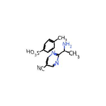 C[C@H](N)c1ncc(C#N)cn1.Cc1ccc(S(=O)(=O)O)cc1